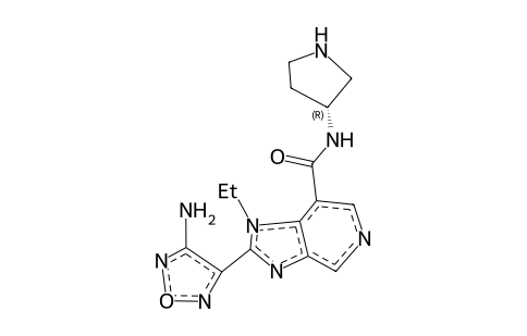 CCn1c(-c2nonc2N)nc2cncc(C(=O)N[C@@H]3CCNC3)c21